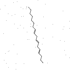 [CH2]CCCCCCC=CCC=CCC=CCCC